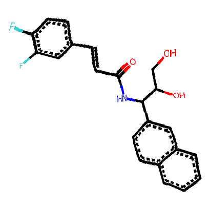 O=C(C=Cc1ccc(F)c(F)c1)NC(c1ccc2ccccc2c1)C(O)CO